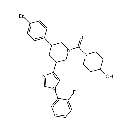 CCc1ccc(C2CC(c3cn(-c4ccccc4F)cn3)CN(C(=O)N3CCC(O)CC3)C2)cc1